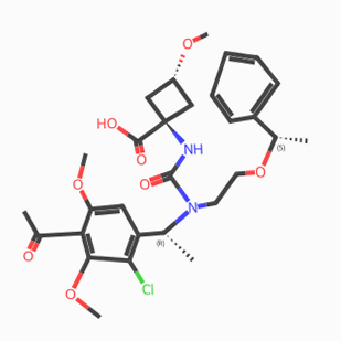 COc1cc([C@@H](C)N(CCO[C@@H](C)c2ccccc2)C(=O)N[C@]2(C(=O)O)C[C@@H](OC)C2)c(Cl)c(OC)c1C(C)=O